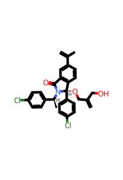 C=C(CO)CO[C@@]1(c2ccc(Cl)cc2)c2ccc(C(=C)C)cc2C(=O)N1[C@@H](C)c1ccc(Cl)cc1